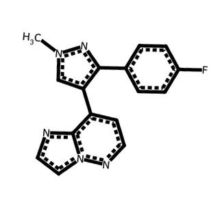 Cn1cc(-c2ccnn3ccnc23)c(-c2ccc(F)cc2)n1